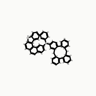 c1ccc(N(c2ccc3c(c2)Cc2ccccc2-c2ccccc2Cc2ccccc2-3)c2ccc3ccc4ccc5oc6ccccc6c5c4c3c2)cc1